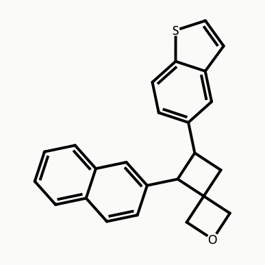 c1ccc2cc(C3C(c4ccc5sccc5c4)CC34COC4)ccc2c1